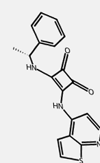 C[C@@H](Nc1c(Nc2ccnc3sccc23)c(=O)c1=O)c1ccccc1